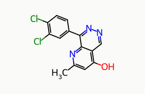 Cc1cc(O)c2cnnc(-c3ccc(Cl)c(Cl)c3)c2n1